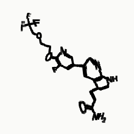 NC(=O)/C=C/c1c[nH]c2ncc(-c3cnc(OCCOCC(F)(F)F)c(F)c3)cc12